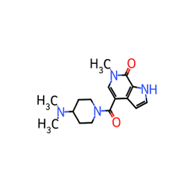 CN(C)C1CCN(C(=O)c2cn(C)c(=O)c3[nH]ccc23)CC1